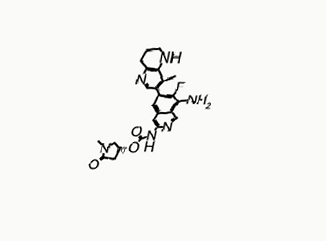 Cc1c(-c2cc3cc(NC(=O)O[C@@H]4CC(=O)N(C)C4)ncc3c(N)c2F)cnc2c1NCCC2